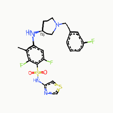 Cc1c(N[C@H]2CCN(Cc3cccc(F)c3)C2)cc(F)c(S(=O)(=O)Nc2cscn2)c1F